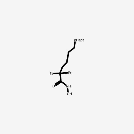 CCCCCCCCCCCC(CC)(CC)C(=O)NO